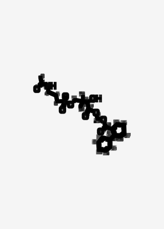 CC(=O)NCCCS(=O)(=O)OCC(C)(C)[C@@H](O)C(=O)OCOC(=O)c1ccccc1-c1ccccc1